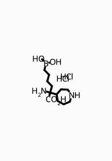 Cl.Cl.NC(CCCCB(O)O)(C(=O)O)C1CCCNCC1